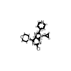 Clc1nc(N2CCOCC2)c2nc(-c3ccncc3)n(C3CC3)c2n1